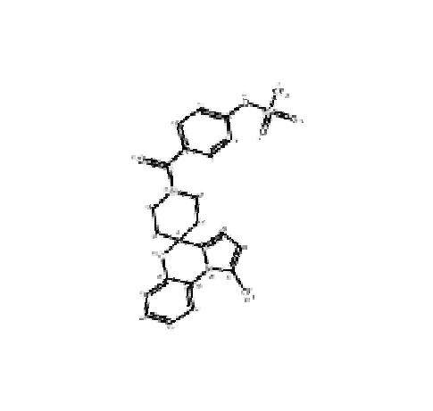 O=C(c1ccc(OS(=O)(=O)C(F)(F)F)cc1)N1CCC2(CC1)Oc1ccccc1-n1c(C(F)(F)F)ccc12